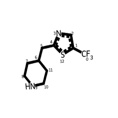 FC(F)(F)c1cnc(CC2CCNCC2)s1